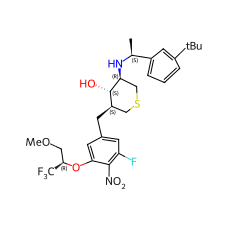 COC[C@@H](Oc1cc(C[C@@H]2CSC[C@H](N[C@@H](C)c3cccc(C(C)(C)C)c3)[C@H]2O)cc(F)c1[N+](=O)[O-])C(F)(F)F